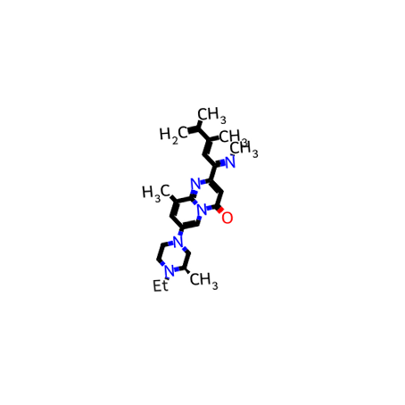 C=C(C)/C(C)=C/C(=N\C)c1cc(=O)n2cc(N3CCN(CC)[C@H](C)C3)cc(C)c2n1